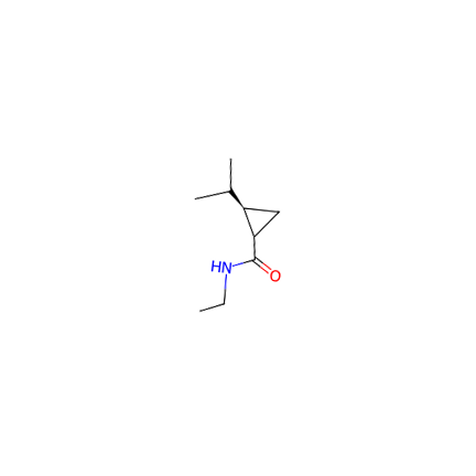 CCNC(=O)C1C[C@@H]1C(C)C